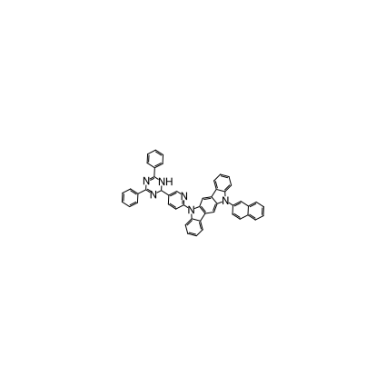 c1ccc(C2=NC(c3ccc(-n4c5ccccc5c5cc6c(cc54)c4ccccc4n6-c4ccc5ccccc5c4)nc3)NC(c3ccccc3)=N2)cc1